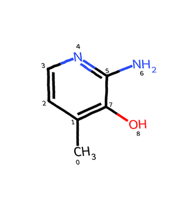 Cc1ccnc(N)c1O